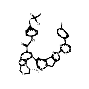 C[C@@H]1COCc2nc3cc(C(=O)Nc4ccc(OC(F)(F)Cl)cc4)cc(-c4cnc5c(c4)-c4nn(-c6nccc(-c7ccc(F)cc7)n6)cc4C5)c3n21